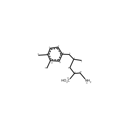 Cc1ccc(CC(C)CC(CN)C(=O)O)cc1C